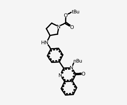 CCCCn1c(-c2ccc(NC3CCN(C(=O)OC(C)(C)C)C3)cc2)nc2ccccc2c1=O